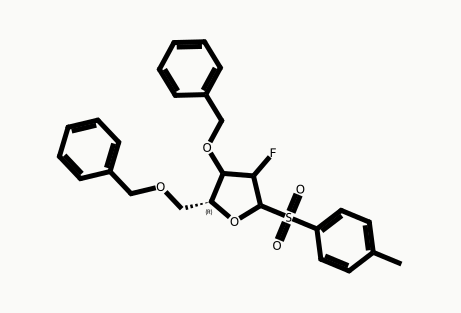 Cc1ccc(S(=O)(=O)C2O[C@H](COCc3ccccc3)C(OCc3ccccc3)C2F)cc1